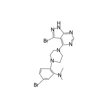 CN(C)c1cc(Br)ccc1N1CCN(c2ncnc3[nH]nc(Br)c23)CC1